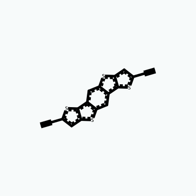 C#Cc1cc2sc3cc4c(cc3c2s1)sc1cc(C#C)sc14